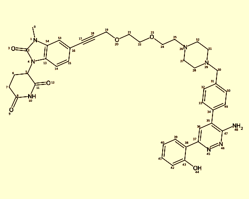 Cn1c(=O)n(C2CCC(=O)NC2=O)c2ccc(C#CCOCCOCCN3CCN(Cc4ccc(-c5cc(-c6ccccc6O)nnc5N)cc4)CC3)cc21